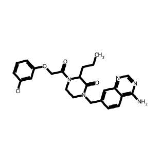 CCCC1C(=O)N(Cc2ccc3c(N)ncnc3c2)CCN1C(=O)COc1cccc(Cl)c1